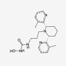 Cc1cccnc1[C@H]1CCC[C@@H](c2ncccc2C)N1CCCNC(=O)NO